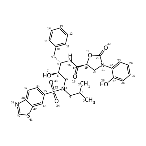 CC(C)CN(C[C@@H](O)[C@H](Cc1ccccc1)NC(=O)[C@@H]1CN(c2ccccc2O)C(=O)O1)S(=O)(=O)c1ccc2ncsc2c1